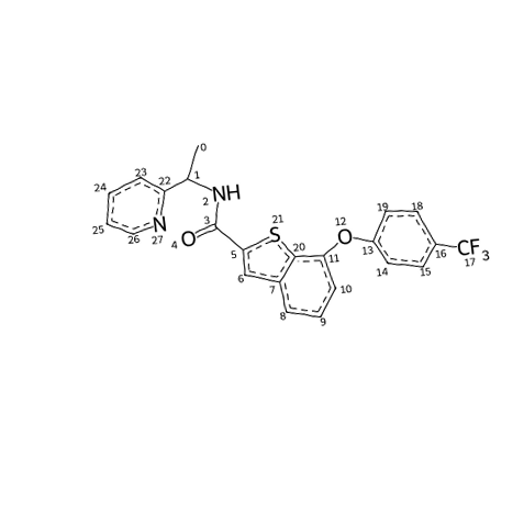 CC(NC(=O)c1cc2cccc(Oc3ccc(C(F)(F)F)cc3)c2s1)c1ccccn1